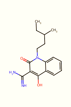 CCC(C)CCn1c(=O)c(C(=N)N)c(O)c2ccccc21